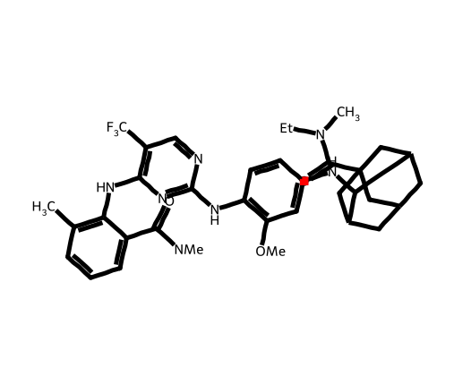 CCN(C)C(=O)C12CC3CC(C1)C(Nc1ccc(Nc4ncc(C(F)(F)F)c(Nc5c(C)cccc5C(=O)NC)n4)c(OC)c1)C(C3)C2